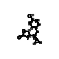 O=C1C=C(N(Cc2cnc(Cl)nc2)C2CC2)CO1